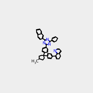 CC1CCC(c2ccc(C3=CCCc4cccnc43)cc2)(c2ccc(-c3nc(C4=CCCC=C4)nc(-c4ccc5ccccc5c4)n3)cc2)CC1